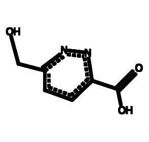 O=C(O)c1ccc(CO)nn1